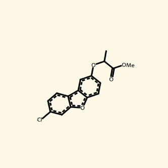 COC(=O)C(C)Oc1ccc2oc3cc(Cl)ccc3c2c1